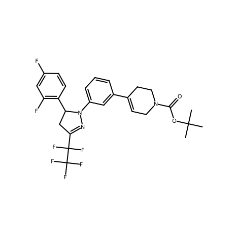 CC(C)(C)OC(=O)N1CC=C(c2cccc(N3N=C(C(F)(F)C(F)(F)F)CC3c3ccc(F)cc3F)c2)CC1